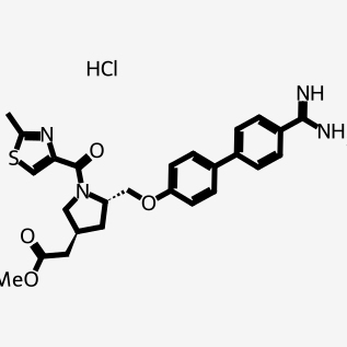 COC(=O)C[C@@H]1C[C@@H](COc2ccc(-c3ccc(C(=N)N)cc3)cc2)N(C(=O)c2csc(C)n2)C1.Cl